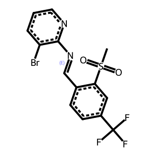 CS(=O)(=O)c1cc(C(F)(F)F)ccc1/C=N/c1ncccc1Br